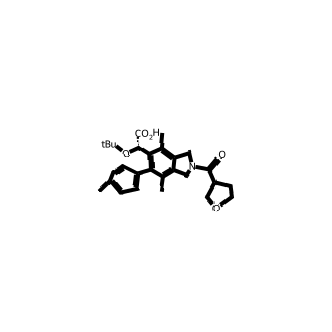 Cc1ccc(-c2c(C)c3c(c(C)c2[C@H](OC(C)(C)C)C(=O)O)CN(C(=O)C2CCOC2)C3)cc1